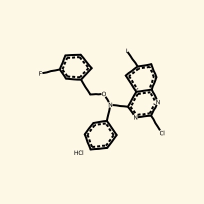 Cl.Fc1cccc(CON(c2ccccc2)c2nc(Cl)nc3ccc(I)cc23)c1